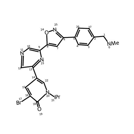 CNCc1ccc(-c2cc(-c3cncc(-c4cc(Br)c(=O)n(C(C)C)c4)n3)on2)cc1